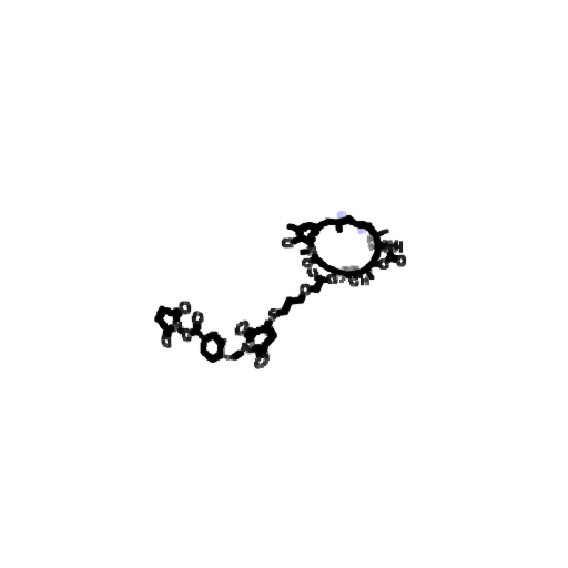 C/C1=C\C=C\[C@@H](C)[C@@]2(O)CC(OC(=O)N2)[C@@H](C)[C@@H]2O[C@@]2(C)[C@@H](OC(=O)COCCCSC2CC(=O)N(C[C@H]3CC[C@H](C(=O)ON4C(=O)CCC4=O)CC3)C2=O)CC(=O)N(C)c2cc(cc(C)c2Cl)C1